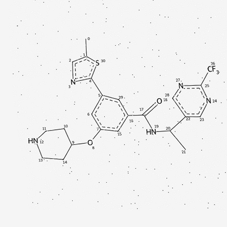 Cc1cnc(-c2cc(OC3CCNCC3)cc(C(=O)NC(C)c3cnc(C(F)(F)F)nc3)c2)s1